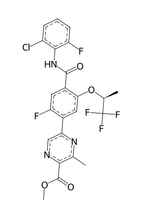 COC(=O)c1ncc(-c2cc(O[C@@H](C)C(F)(F)F)c(C(=O)Nc3c(F)cccc3Cl)cc2F)nc1C